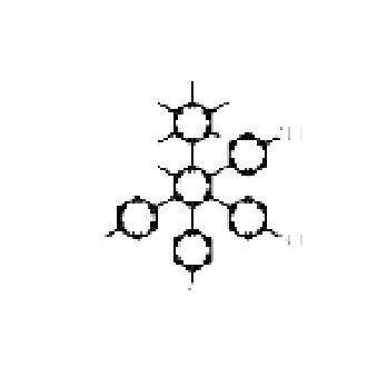 Cc1c(C)c(C)c(-c2c(C)c(-c3ccc(N)cc3)c(-c3ccc(N)cc3)c(-c3ccc(N)cc3)c2-c2ccc(N)cc2)c(C)c1C